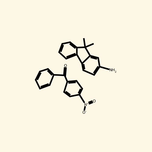 CC1(C)c2ccccc2-c2ccc(N)cc21.O=C(c1ccccc1)c1ccc([N+](=O)[O-])cc1